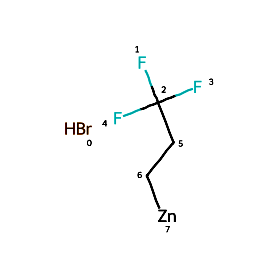 Br.FC(F)(F)C[CH2][Zn]